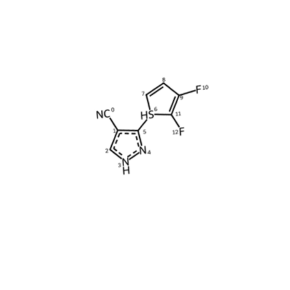 N#Cc1c[nH]nc1[SH]1C=CC(F)=C1F